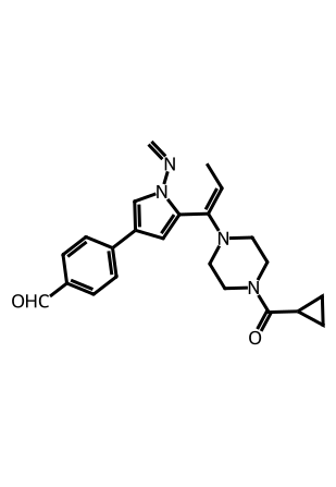 C=Nn1cc(-c2ccc(C=O)cc2)cc1/C(=C\C)N1CCN(C(=O)C2CC2)CC1